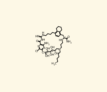 CCCCCCN(CCCN[C@@H](Cc1ccc(CCCCNC(=N)NC(=O)c2nc(Cl)c(C)nc2N)c2c1CCCC2)C(N)=O)C[C@H](O)[C@@H](O)[C@H](O)[C@H](O)CO